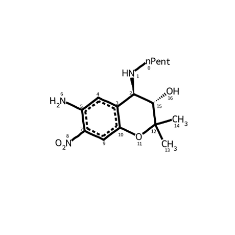 CCCCCN[C@@H]1c2cc(N)c([N+](=O)[O-])cc2OC(C)(C)[C@H]1O